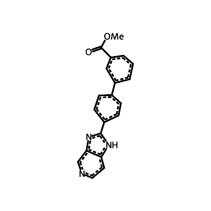 COC(=O)c1cccc(-c2ccc(-c3nc4cnccc4[nH]3)cc2)c1